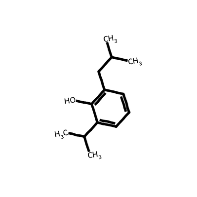 CC(C)Cc1cccc(C(C)C)c1O